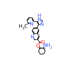 Cc1cccc(-c2[nH]cnc2-c2ccc3ncc(C(=O)O[C@@H]4CCCC[C@@H]4N)cc3c2)n1